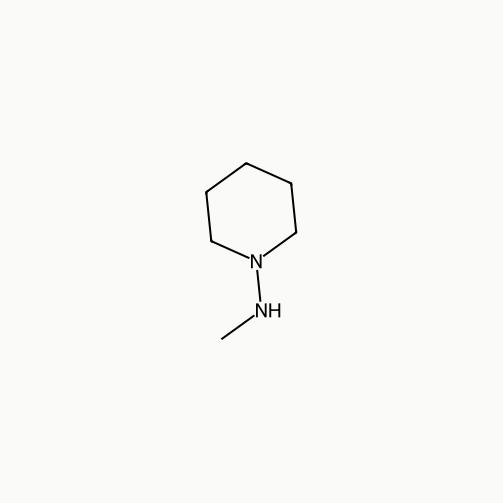 CNN1CCCCC1